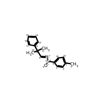 Cc1ccc([S+]([O-])/N=C/C(C)(C)c2ccccc2)cc1